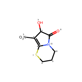 O=C1C(O)C([N+](=O)[O-])=C2SCCCN12